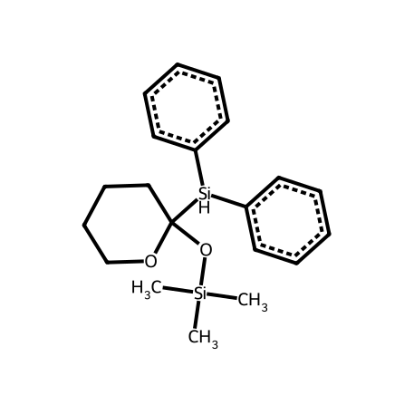 C[Si](C)(C)OC1([SiH](c2ccccc2)c2ccccc2)CCCCO1